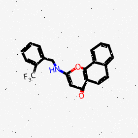 O=c1cc(NCc2ccccc2C(F)(F)F)oc2c1ccc1ccccc12